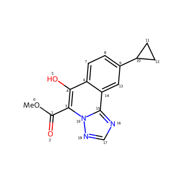 COC(=O)c1c(O)c2ccc(C3CC3)cc2c2ncnn12